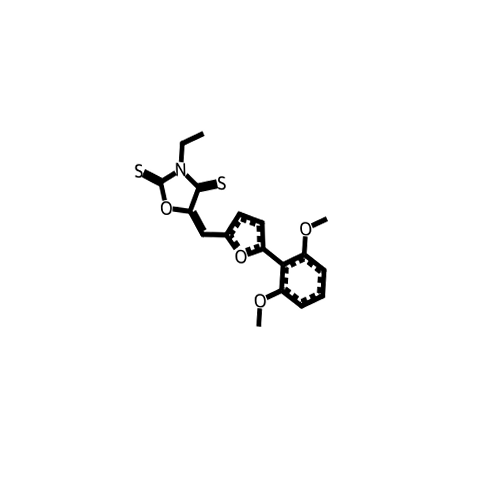 CCN1C(=S)O/C(=C/c2ccc(-c3c(OC)cccc3OC)o2)C1=S